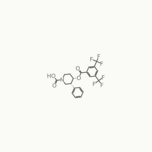 O=C(O[C@H]1CCN(C(=O)O)C[C@H]1c1ccccc1)c1cc(C(F)(F)F)cc(C(F)(F)F)c1